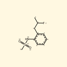 CC(F)Cc1ccccc1NS(C)(=O)=O